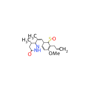 C=CCC1=C(OC)C=CC(C=C(C)C2=NNC(=O)CC2C)C1=S=O